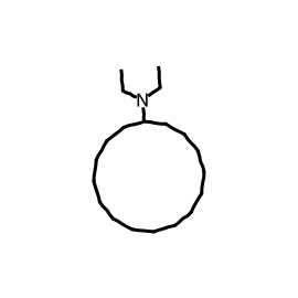 CCN(CC)C1CCCCCCCCCCCCCCC1